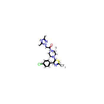 Cc1nc(C)n(CC(=O)N2CCN(c3sc(C(F)(F)F)nc3-c3ccc(Cl)cc3)C[C@H]2C)n1